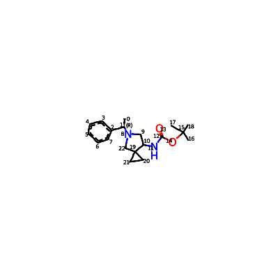 C[C@H](c1ccccc1)N1CC(NC(=O)OC(C)(C)C)C2(CC2)C1